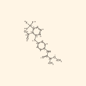 CON(C)C(=O)Nc1ccc(Sc2nncc(C(F)(F)F)c2[N+](=O)[O-])cc1